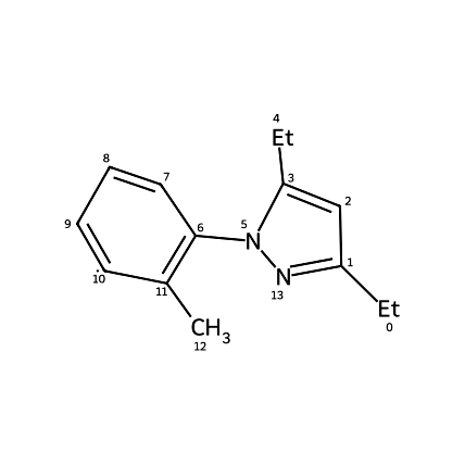 CCc1cc(CC)n(-c2ccc[c]c2C)n1